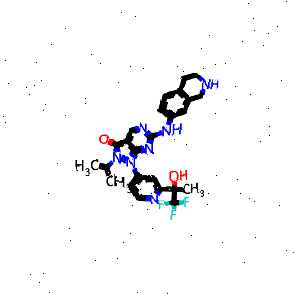 CC(C)n1c(=O)c2cnc(Nc3ccc4c(c3)CNCC4)nc2n1-c1ccnc(C(C)(O)C(F)(F)F)c1